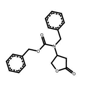 O=C1CC(N(Cc2ccccc2)C(=O)OCc2ccccc2)CO1